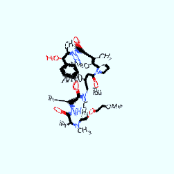 CC[C@H](C)[C@@H]([C@@H](CC(=O)N1CCC[C@H]1[C@H](OC)[C@@H](C)C(=O)N[C@H](C)[C@@H](O)c1ccccc1)OC)N(C)C(=O)[C@@H](NC(=O)[C@H](C(C)C)N(C)CCOCCOC)C(C)C